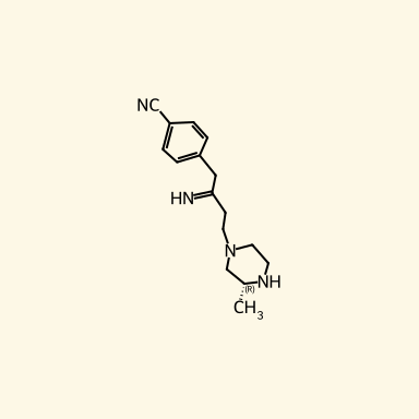 C[C@@H]1CN(CCC(=N)Cc2ccc(C#N)cc2)CCN1